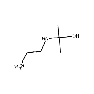 CC(C)(O)NCCN